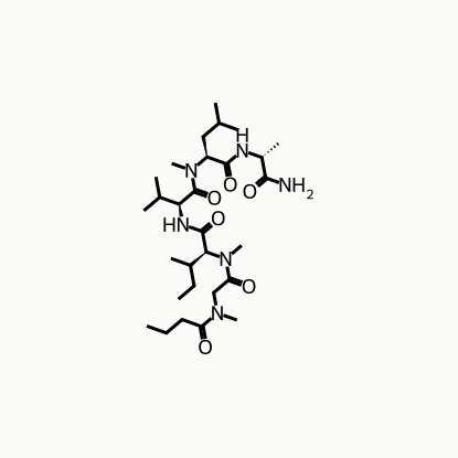 CCCC(=O)N(C)CC(=O)N(C)[C@H](C(=O)N[C@H](C(=O)N(C)[C@@H](CC(C)C)C(=O)N[C@H](C)C(N)=O)C(C)C)C(C)CC